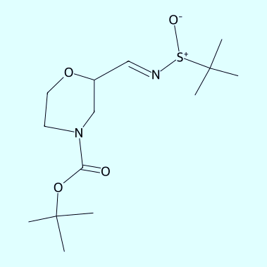 CC(C)(C)OC(=O)N1CCOC(/C=N/[S+]([O-])C(C)(C)C)C1